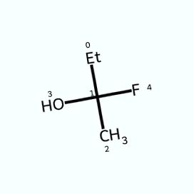 CCC(C)(O)F